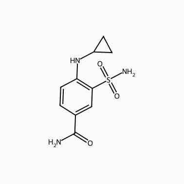 NC(=O)c1ccc(NC2CC2)c(S(N)(=O)=O)c1